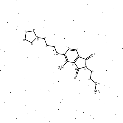 O=C1c2ccc(OCCCN3CCCC3)c([N+](=O)[O-])c2C(=O)N1CCO[N+](=O)[O-]